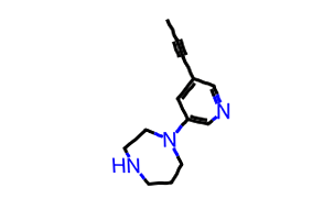 CC#Cc1cncc(N2CCCNCC2)c1